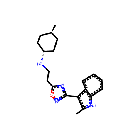 Cc1[nH]c2ccccc2c1-c1noc(CCN[C@H]2CC[C@H](C)CC2)n1